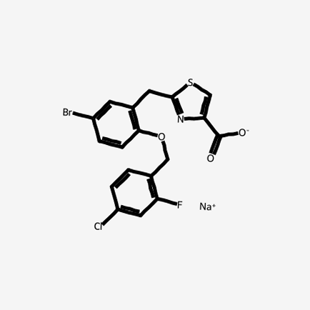 O=C([O-])c1csc(Cc2cc(Br)ccc2OCc2ccc(Cl)cc2F)n1.[Na+]